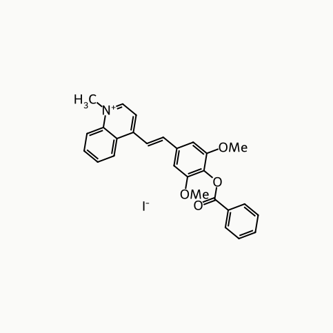 COc1cc(C=Cc2cc[n+](C)c3ccccc23)cc(OC)c1OC(=O)c1ccccc1.[I-]